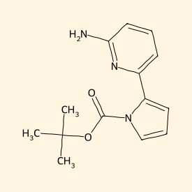 CC(C)(C)OC(=O)n1cccc1-c1cccc(N)n1